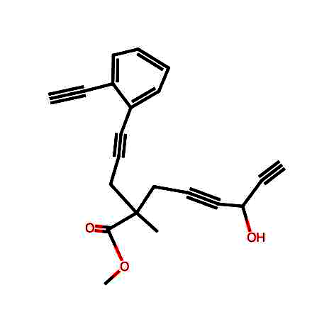 C#Cc1ccccc1C#CCC(C)(CC#CC(O)C#C)C(=O)OC